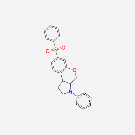 O=S(=O)(c1ccccc1)c1ccc2c(c1)OCC1C2CCN1c1ccccc1